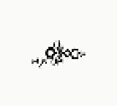 CN1CCC2(CC1)CC(S(=O)(=O)c1c(Cl)ccc(N)c1O)C2